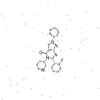 O=c1c2cn(-c3ccccc3)nc2nc(-c2ccccc2F)n1-c1cccnc1